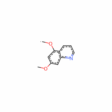 [CH2]Oc1cc(OC)cc2ncccc12